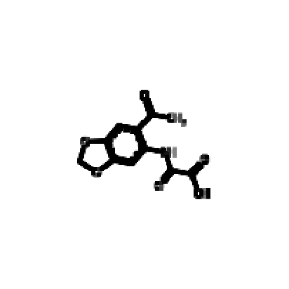 CC(=O)c1cc2c(cc1NC(=O)C(=O)O)OCO2